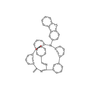 C=C1/N=C(\N=C\c2ccccc2)c2cccc(c2)-c2cccc(c2)N(c2ccc3sc4ccccc4c3c2)c2cccc(c2)-c2cccc1c2